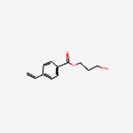 C=Cc1ccc(C(=O)OCCCO)cc1